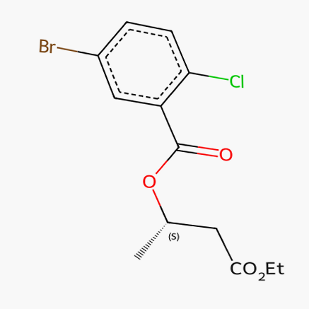 CCOC(=O)C[C@H](C)OC(=O)c1cc(Br)ccc1Cl